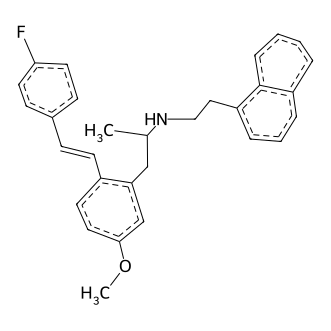 COc1ccc(C=Cc2ccc(F)cc2)c(CC(C)NCCc2cccc3ccccc23)c1